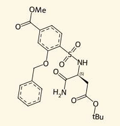 COC(=O)c1ccc(S(=O)(=O)N[C@@H](CC(=O)OC(C)(C)C)C(N)=O)c(OCc2ccccc2)c1